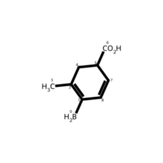 BC1=C(C)CC(C(=O)O)C=C1